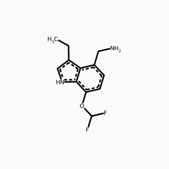 CCc1c[nH]c2c(OC(F)F)ccc(CN)c12